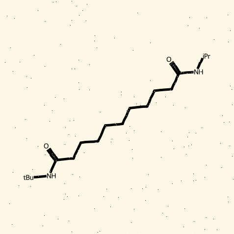 CC(C)NC(=O)CCCCCCCCCC(=O)NC(C)(C)C